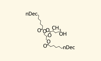 CCCCCCCCCCCCCCCC(=O)OCC(COC(=O)CCCCCCCCCCCCCCC)OC(=O)C(C)CCO